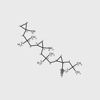 CC(C)(C)CC1(C#N)CC1CC(C)(C)CC1(N)CC1CC(C)(C)CC1(O)CC1